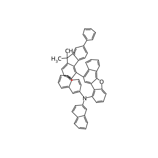 CC1(C)c2cc(-c3ccccc3)ccc2-c2c(-c3cc4c(oc5cccc(N(c6ccc7ccccc7c6)c6ccc7ccccc7c6)c54)c4ccccc34)cccc21